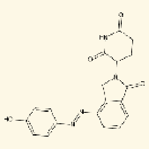 O=C1CCC(N2Cc3c(/N=N/c4ccc(O)cc4)cccc3C2=O)C(=O)N1